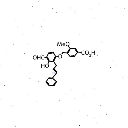 COc1cc(C(=O)O)ccc1COc1ccc(C=O)c(O)c1C/C=C/c1ccccc1